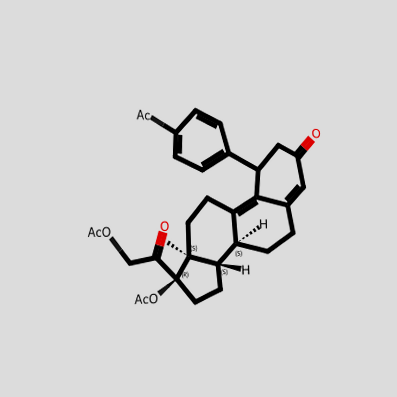 CC(=O)OCC(=O)[C@@]1(OC(C)=O)CC[C@H]2[C@@H]3CCC4=CC(=O)CC(c5ccc(C(C)=O)cc5)C4=C3CC[C@@]21C